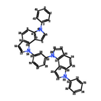 c1ccc(-n2ccc3c2ccc2ccn(-c4cccc(-n5ccc6ccc7c(ccn7-c7ccccc7)c65)c4)c23)cc1